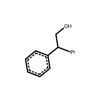 CC(C)C(CO)c1ccccc1